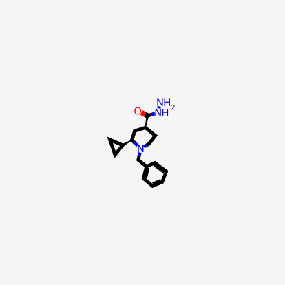 NNC(=O)[C@H]1CCN(Cc2ccccc2)[C@@H](C2CC2)C1